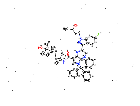 CC(O)CCn1nc(-c2cnc3c(n2)c(C(=O)NC(C)(C)CCC(C)(C)[Si](C)(C)O)cn3C(c2ccccc2)(c2ccccc2)c2ccccc2)c2ccc(F)cc21